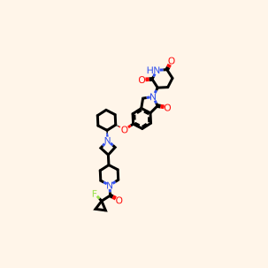 O=C1CCC(N2Cc3cc(O[C@H]4CCCC[C@@H]4N4CC(C5CCN(C(=O)C6(F)CC6)CC5)C4)ccc3C2=O)C(=O)N1